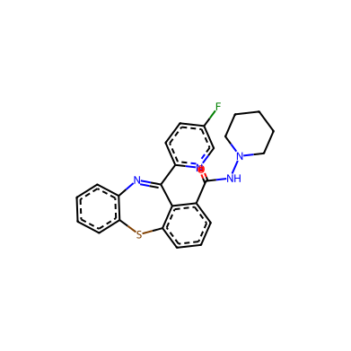 O=C(NN1CCCCC1)c1cccc2c1C(c1ccc(F)cn1)=Nc1ccccc1S2